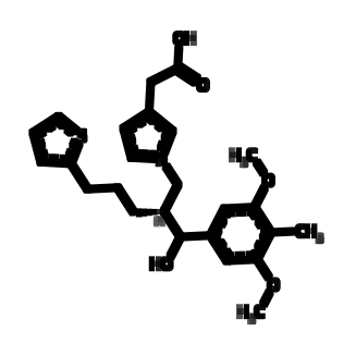 COc1cc(C(O)[C@H](CCCc2cccs2)Cn2ccc(CC(=O)O)c2)cc(OC)c1C